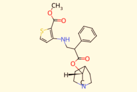 COC(=O)c1sccc1NCC(C(=O)O[C@H]1CN2CCC1CC2)c1ccccc1